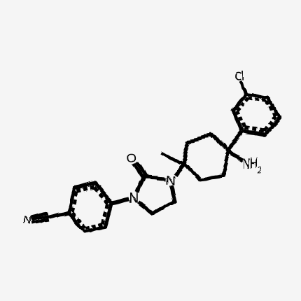 CC1(N2CCN(c3ccc(C#N)cc3)C2=O)CCC(N)(c2cccc(Cl)c2)CC1